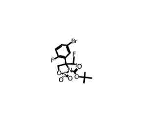 CC(C)(C)OC(=O)N1C(c2cc(Br)ccc2F)(C(F)F)COS1(=O)=O